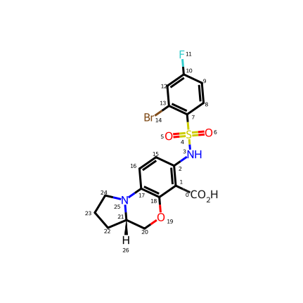 O=C(O)c1c(NS(=O)(=O)c2ccc(F)cc2Br)ccc2c1OC[C@@H]1CCCN21